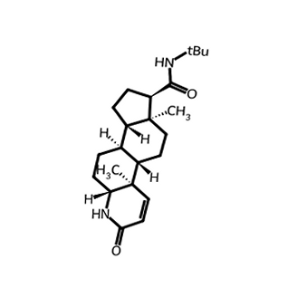 CC(C)(C)NC(=O)[C@@H]1CC[C@H]2[C@@H]3CC[C@H]4NC(=O)C=C[C@]4(C)[C@H]3CC[C@]12C